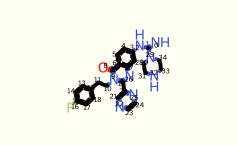 N=C(Nc1ccc2c(=O)n(CCc3ccc(F)cc3)c(-c3cnccn3)nc2c1)N1CCNCC1